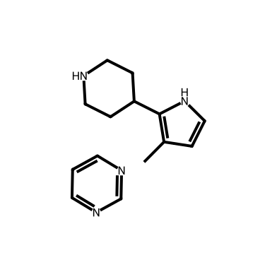 Cc1cc[nH]c1C1CCNCC1.c1cncnc1